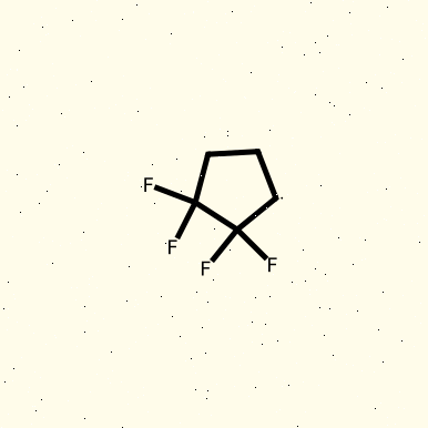 FC1(F)[CH]CCC1(F)F